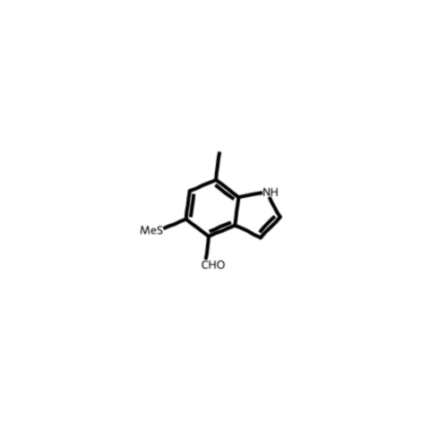 CSc1cc(C)c2[nH]ccc2c1C=O